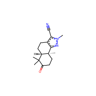 Cn1nc2c(c1C#N)CC[C@H]1C(C)(C)C(=O)CC[C@]21C